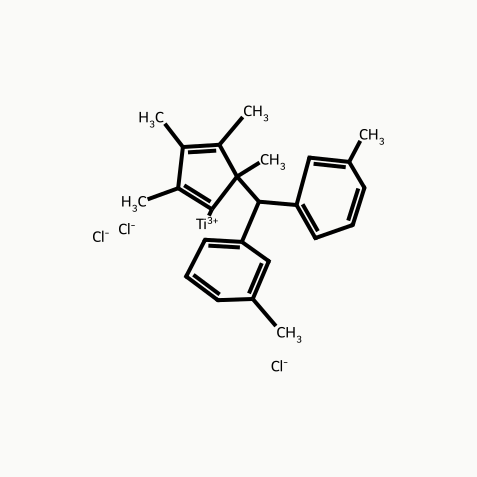 CC1=C(C)C(C)(C(c2cccc(C)c2)c2cccc(C)c2)[C]([Ti+3])=C1C.[Cl-].[Cl-].[Cl-]